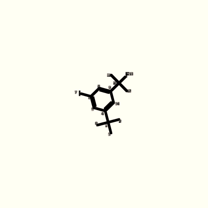 CC(C)(C)c1cc(I)cc(C(C)(C)F)c1